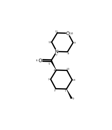 C[C@H]1CC[C@@H](C(=O)N2CCOCC2)CC1